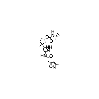 Cc1cc(CC(=O)Nc2cc([C@]3(C)CC[C@H](OC(=O)NC4(C)CC4)C3)[nH]n2)on1